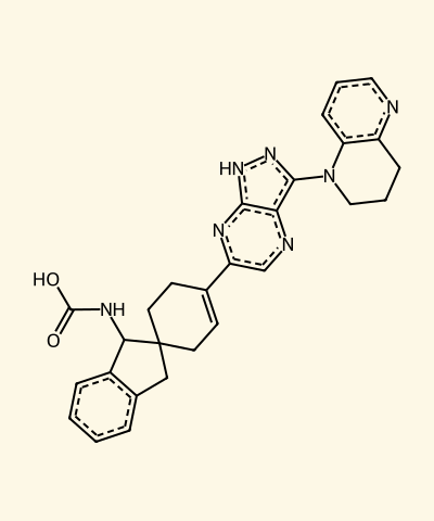 O=C(O)NC1c2ccccc2CC12CC=C(c1cnc3c(N4CCCc5ncccc54)n[nH]c3n1)CC2